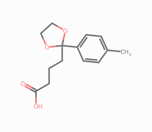 Cc1ccc(C2(CCCC(=O)O)OCCO2)cc1